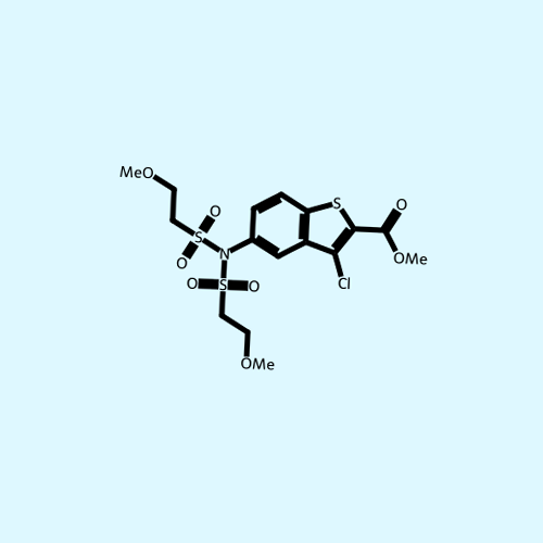 COCCS(=O)(=O)N(c1ccc2sc(C(=O)OC)c(Cl)c2c1)S(=O)(=O)CCOC